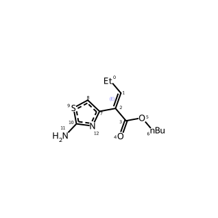 CC/C=C(/C(=O)OCCCC)c1csc(N)n1